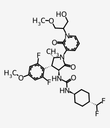 COCC(CO)n1cccc(N2C(=O)[C@@H](NC(=O)N[C@H]3CC[C@H](C(F)F)CC3)[C@H](c3c(F)cc(OC)cc3F)[C@@H]2C)c1=O